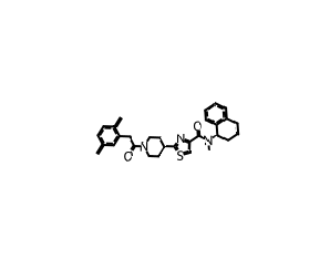 C=c1ccc(=C)c(CC(=O)N2CCC(c3nc(C(=O)N(C)[C@@H]4CCCc5ccccc54)cs3)CC2)c1